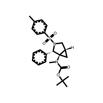 Cc1ccc(S(=O)(=O)N2C[C@@H]3C[C@]3(N(C)C(=O)OC(C)(C)C)[C@@H]2c2ccccc2)cc1